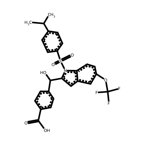 CC(C)c1ccc(S(=O)(=O)n2c(C(O)c3ccc(C(=O)O)cc3)cc3cc(OC(F)(F)F)ccc32)cc1